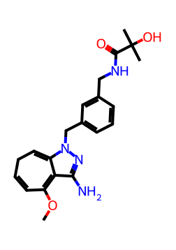 COC1=c2c(N)nn(Cc3cccc(CNC(=O)C(C)(C)O)c3)c2=CCC=C1